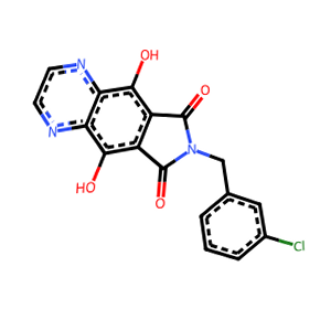 O=C1c2c(c(O)c3nccnc3c2O)C(=O)N1Cc1cccc(Cl)c1